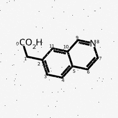 O=C(O)Cc1ccc2ccncc2c1